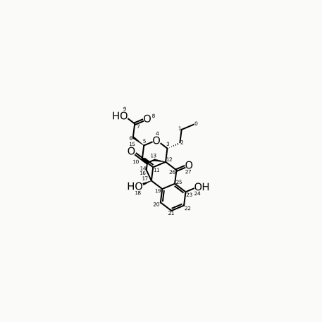 CCC[C@H]1O[C@H](CC(=O)O)C=C2[C@]13CC(=O)C[C@@]2(O)c1cccc(O)c1C3=O